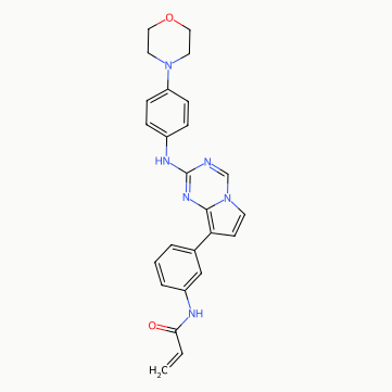 C=CC(=O)Nc1cccc(-c2ccn3cnc(Nc4ccc(N5CCOCC5)cc4)nc23)c1